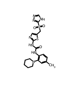 Cc1ccc(NC(=O)Nc2ncc(CS(=O)(=O)c3nnc[nH]3)s2)c(N2CCCCC2)c1